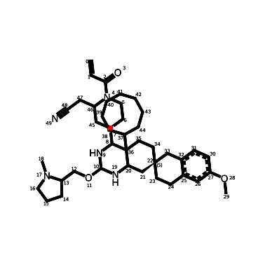 C=CC(=O)N1CCN(C2NC(OCC3CCCN3C)NC3C[C@@]4(CCc5cc(OC)ccc5C4)CCC32C2CCCCCCC2)CC1CC#N